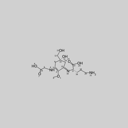 COC1=C(NCC(=O)O)C[C@@](O)(CO)C/C1=N\[C@@H](CCCN)C(=O)O